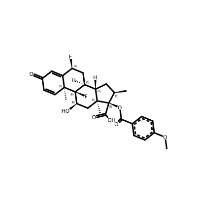 COc1ccc(C(=O)O[C@]2(C(=O)O)[C@H](C)C[C@H]3[C@@H]4C[C@H](F)C5=CC(=O)C=C[C@]5(C)[C@@]4(F)[C@H](O)C[C@@]32C)cc1